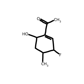 CC(=O)C1=CC(F)C(C)CC1O